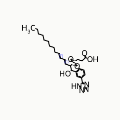 CCCCCCCCC/C=C/C=C/C(C(O)c1cccc(-c2nnn[nH]2)c1)S(=O)(=O)CCC(=O)O